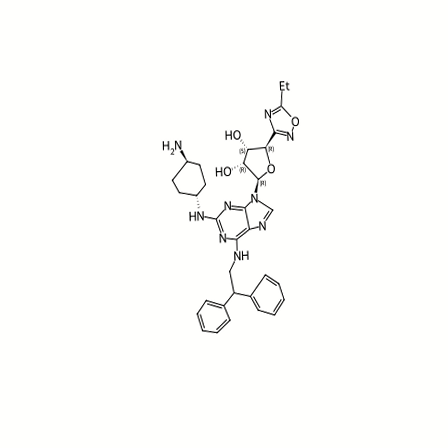 CCc1nc([C@H]2O[C@@H](n3cnc4c(NCC(c5ccccc5)c5ccccc5)nc(N[C@H]5CC[C@H](N)CC5)nc43)[C@H](O)[C@@H]2O)no1